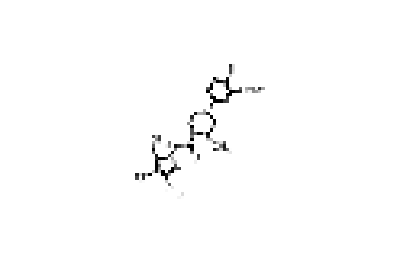 COc1cc(N2CCN(C(=O)Cn3nc(C(F)(F)F)c(Cl)c3CN)C(C)C2)ccc1Br